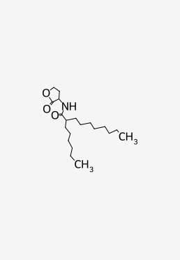 CCCCCCCCC(CCCCCC)C(=O)NC1CCOC1=O